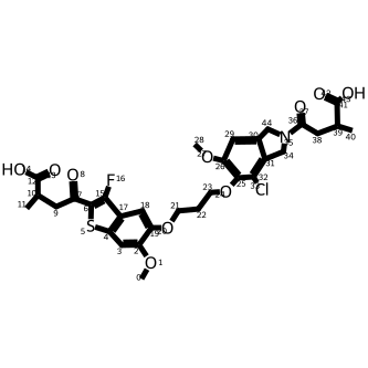 COc1cc2sc(C(=O)CC(C)C(=O)O)c(F)c2cc1OCCCOc1c(OC)cc2c(c1Cl)CN(C(=O)CC(C)C(=O)O)C2